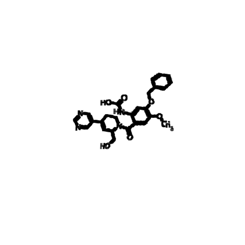 COc1cc(C(=O)N2CCC(c3cncnc3)=CC2CO)c(NC(=O)O)cc1OCc1ccccc1